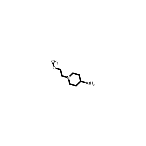 COCCN1CCC([AsH2])CC1